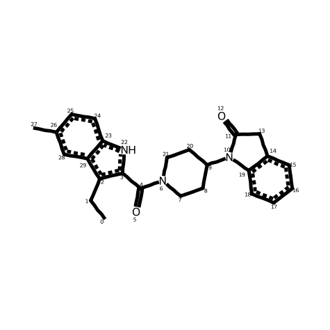 CCc1c(C(=O)N2CCC(N3C(=O)Cc4ccccc43)CC2)[nH]c2ccc(C)cc12